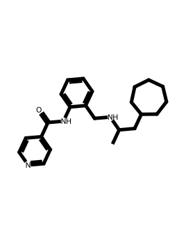 CC(CC1CCCCCC1)NCc1ccccc1NC(=O)c1ccncc1